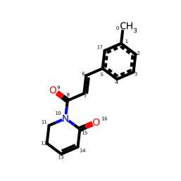 Cc1cccc(/C=C/C(=O)N2CCC=CC2=O)c1